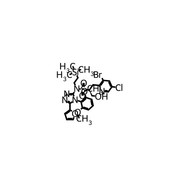 COc1cccc(OC)c1-n1c(-c2ccco2)nnc1N(CC[Si](C)(C)C)S(=O)(=O)[C@H](CO)Cc1ncc(Cl)cc1Br